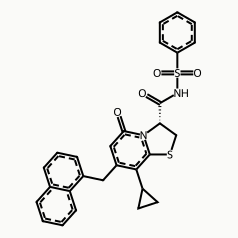 O=C(NS(=O)(=O)c1ccccc1)[C@@H]1CSc2c(C3CC3)c(Cc3cccc4ccccc34)cc(=O)n21